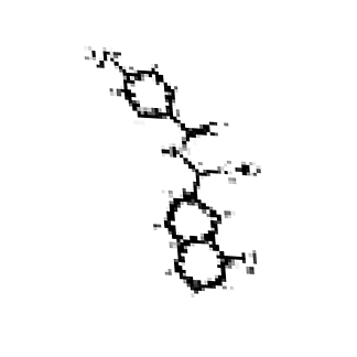 O=[C]C(NC(=O)c1ccc([N+](=O)[O-])cc1)c1ccc2cccc(Cl)c2c1